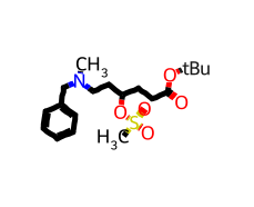 CN(CCC(CCC(=O)OC(C)(C)C)OS(C)(=O)=O)Cc1ccccc1